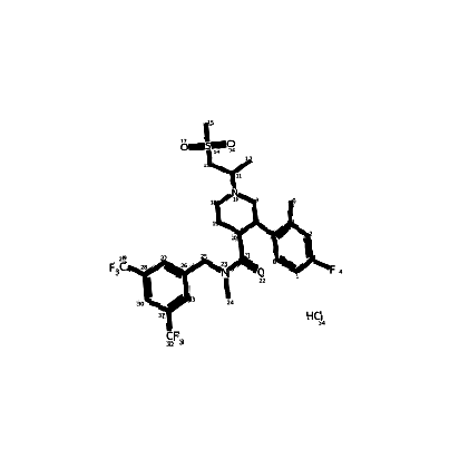 Cc1cc(F)ccc1C1CN(C(C)CS(C)(=O)=O)CCC1C(=O)N(C)Cc1cc(C(F)(F)F)cc(C(F)(F)F)c1.Cl